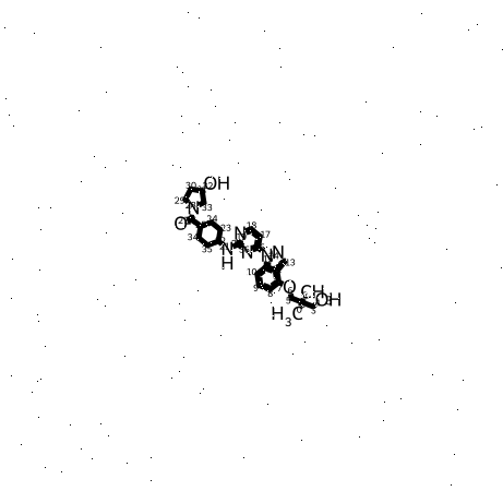 CC(C)(CO)COc1cccc2c1cnn2-c1ccnc(NC2CCC(C(=O)N3CCC(O)C3)CC2)n1